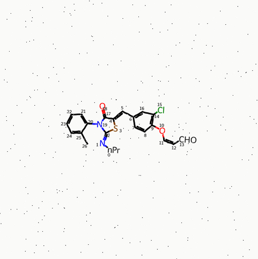 CCC/N=C1\S/C(=C\c2ccc(O/C=C\C=O)c(Cl)c2)C(=O)N1c1ccccc1C